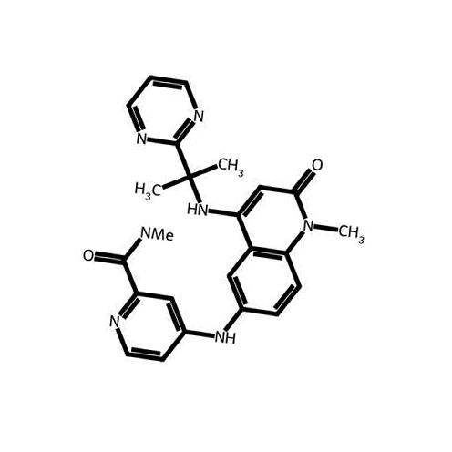 CNC(=O)c1cc(Nc2ccc3c(c2)c(NC(C)(C)c2ncccn2)cc(=O)n3C)ccn1